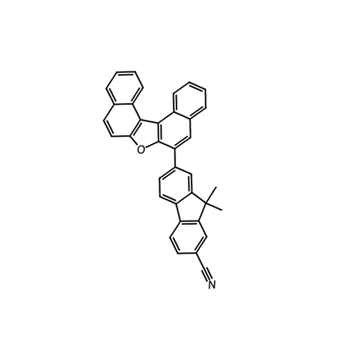 CC1(C)c2cc(C#N)ccc2-c2ccc(-c3cc4ccccc4c4c3oc3ccc5ccccc5c34)cc21